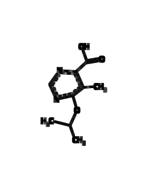 Cc1c(OC(C)C)ncnc1C(=O)O